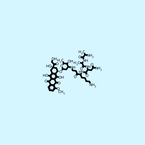 COc1cccc2c1C(=O)c1c(O)c3c(c(O)c1C2=O)C[C@@](O)(C(=O)CO)C[C@@H]3OC1CC(NCCC(=O)C(CCCCN)NC(=O)C(CC(N)=O)NC(=O)C(C)NC(=O)C(C)N)C(O)C(C)O1